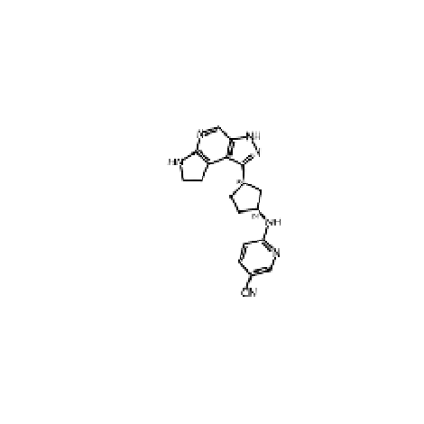 N#Cc1ccc(N[C@H]2CC[C@@H](c3n[nH]c4cnc5c(c34)CCN5)C2)nc1